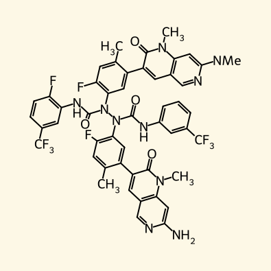 CNc1cc2c(cn1)cc(-c1cc(N(C(=O)Nc3cc(C(F)(F)F)ccc3F)N(C(=O)Nc3cccc(C(F)(F)F)c3)c3cc(-c4cc5cnc(N)cc5n(C)c4=O)c(C)cc3F)c(F)cc1C)c(=O)n2C